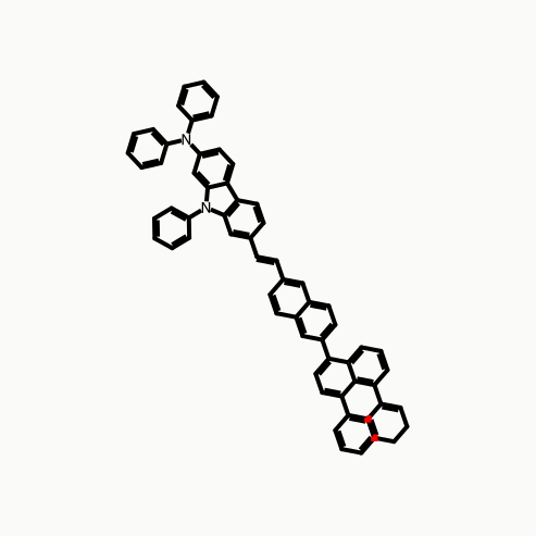 C1=CC(c2cccc3c(-c4ccc5cc(/C=C/c6ccc7c8ccc(N(c9ccccc9)c9ccccc9)cc8n(-c8ccccc8)c7c6)ccc5c4)ccc(-c4ccccc4)c23)=CCC1